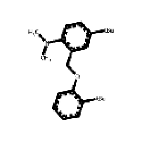 CN(C)c1ccc(C(C)(C)C)cc1COc1ccccc1C(C)(C)C